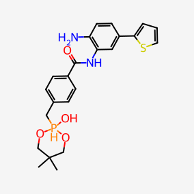 CC1(C)CO[PH](O)(Cc2ccc(C(=O)Nc3cc(-c4cccs4)ccc3N)cc2)OC1